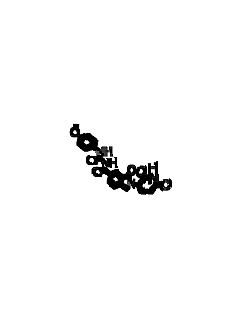 COc1ccc(NC(=O)NC(=O)c2ccc3c(c2)C(=O)N(C2CCC(=O)NC2=O)C3)cc1